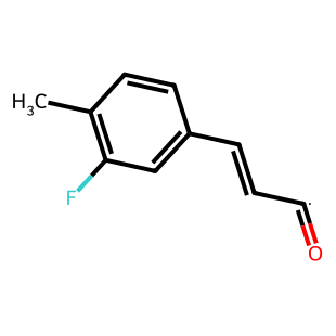 Cc1ccc(C=C[C]=O)cc1F